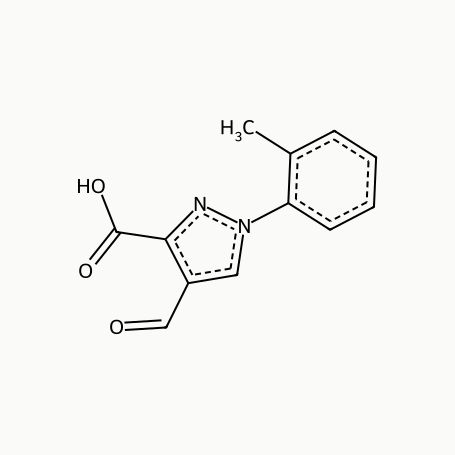 Cc1ccccc1-n1cc(C=O)c(C(=O)O)n1